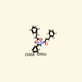 COc1ccc(C(CNC(=O)CCc2ccccc2)OC(=O)CCc2ccccc2)cc1OC